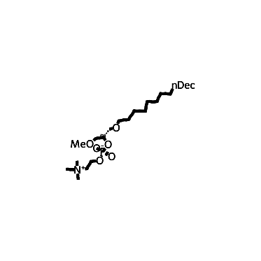 CCCCCCCCCCCCCCCCCCOC[C@@H](COC)OP(=O)([O-])OCC[N+](C)(C)C